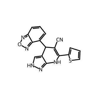 N#CC1=C(c2cccs2)Nc2n[nH]cc2C1c1cccc2nonc12